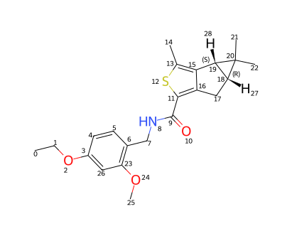 CCOc1ccc(CNC(=O)c2sc(C)c3c2C[C@@H]2[C@H]3C2(C)C)c(OC)c1